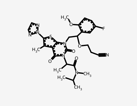 COc1ccc(F)cc1C(Cn1c(=O)n(C(C)C(=O)N(C)C(C)C)c(=O)c2c(C)c(-n3nccn3)sc21)OCCC#N